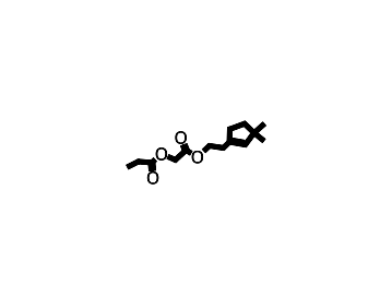 CCC(=O)OCC(=O)OCCC1=CC(C)(C)CC1